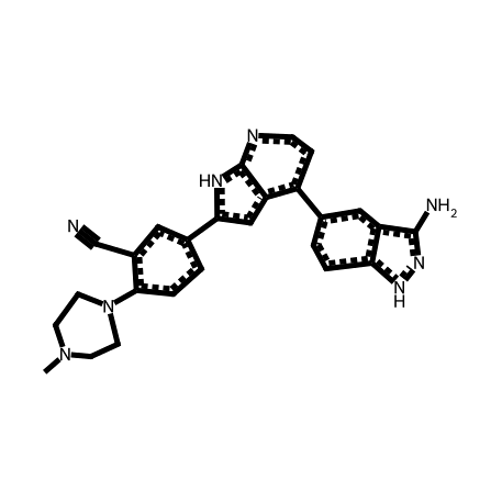 CN1CCN(c2ccc(-c3cc4c(-c5ccc6[nH]nc(N)c6c5)ccnc4[nH]3)cc2C#N)CC1